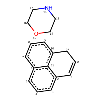 C1=Cc2cccc3cccc(c23)C1.C1COCCN1